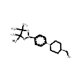 CC(=O)C[C@H]1CC[C@H](c2ccc(B3OC(C)(C)C(C)(C)O3)cc2)CC1